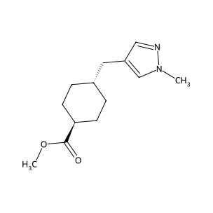 COC(=O)[C@H]1CC[C@H](Cc2cnn(C)c2)CC1